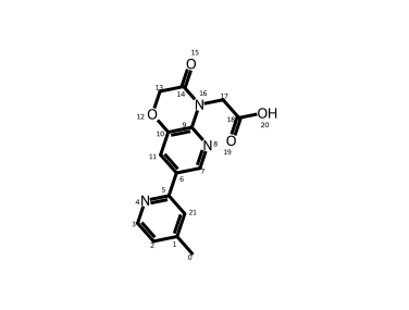 Cc1ccnc(-c2cnc3c(c2)OCC(=O)N3CC(=O)O)c1